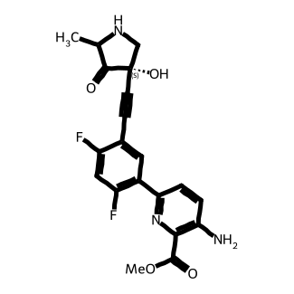 COC(=O)c1nc(-c2cc(C#C[C@]3(O)CNC(C)C3=O)c(F)cc2F)ccc1N